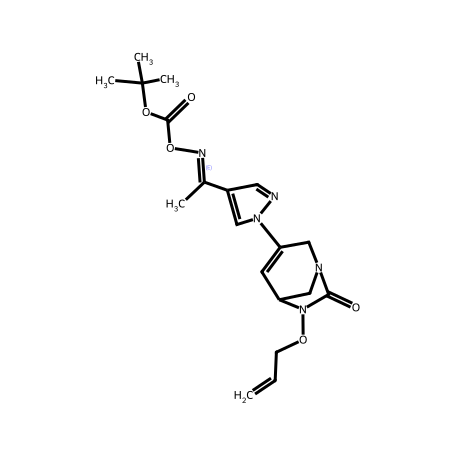 C=CCON1C(=O)N2CC(n3cc(/C(C)=N/OC(=O)OC(C)(C)C)cn3)=CC1C2